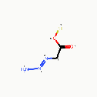 NN=NCC(=O)OS